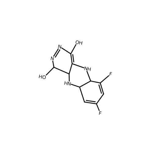 OC1=C2NC3C(F)=CC(F)=CC3NC2C(O)N=N1